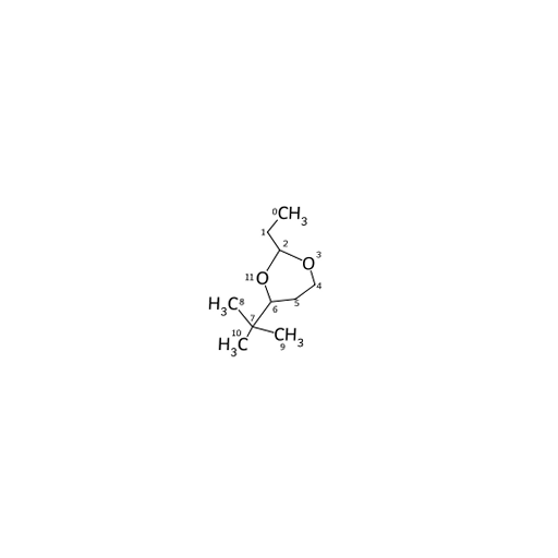 CCC1OCCC(C(C)(C)C)O1